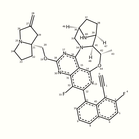 C#Cc1c(F)ccc2cccc(-c3nc4c5c(nc(OC[C@]67CCCN6CC(=C)C7)nc5c3F)N3C[C@H]5CC[C@H](N5)[C@H]3[C@H](C)O4)c12